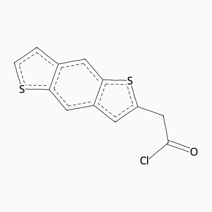 O=C(Cl)Cc1cc2cc3sccc3cc2s1